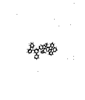 c1ccc(-c2cc(-c3cnc4c(c3)C3(c5ccccc5Sc5cc6c(cc53)-c3ccccc3C63c5ccccc5-c5ccccc53)c3cccnc3-4)cc(-n3c4ccccc4c4ccccc43)c2)cc1